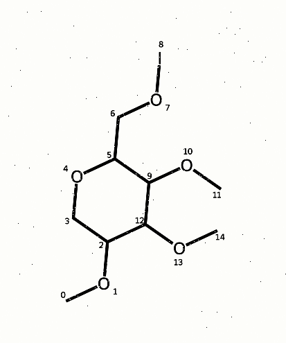 COC1COC(COI)C(OC)C1OC